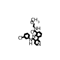 COCCNC(=O)c1cccc2c1nc(Nc1cccc(Cl)c1)c1ccncc12